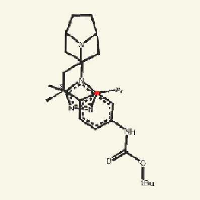 Cc1nnc(C(C)C)n1C1CC2CCC(C1)N2CC[C@H](C)c1ccc(NC(=O)OC(C)(C)C)cc1